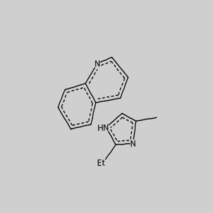 CCc1nc(C)c[nH]1.c1ccc2ncccc2c1